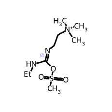 CCN/C(=N/CC[N+](C)(C)C)OS(C)(=O)=O